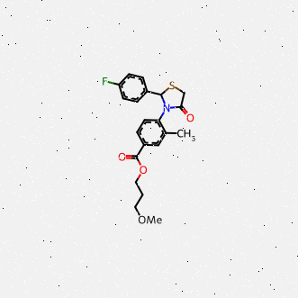 COCCCOC(=O)c1ccc(N2C(=O)CSC2c2ccc(F)cc2)c(C)c1